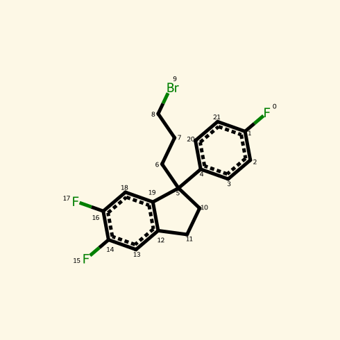 Fc1ccc(C2(CCCBr)CCc3cc(F)c(F)cc32)cc1